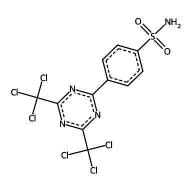 NS(=O)(=O)c1ccc(-c2nc(C(Cl)(Cl)Cl)nc(C(Cl)(Cl)Cl)n2)cc1